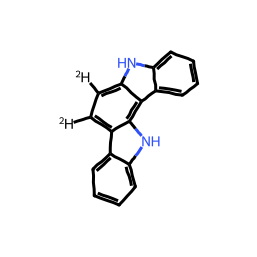 [2H]c1c([2H])c2c3ccccc3[nH]c2c2c1[nH]c1ccccc12